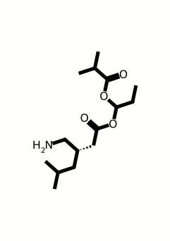 CCC(OC(=O)C[C@@H](CN)CC(C)C)OC(=O)C(C)C